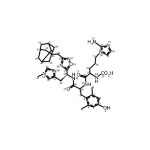 Cc1cc(O)cc(C)c1CC(NC(=O)C(CCCn1ccnc1N)NC(=O)O)C(=O)N[C@@H](Cc1cn(C)cn1)c1nc(CC23CC4CC(CC(C4)C2)C3)no1